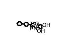 Oc1cc(O)c(Nc2nc(-c3ccc(-c4ccccc4)cc3)cs2)c(O)c1